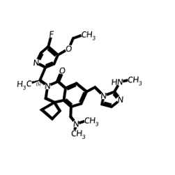 CCOc1cc([C@H](C)N2CC3(CCC3)c3c(CN(C)C)cc(Cn4ccnc4NC)cc3C2=O)ncc1F